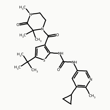 Cc1ncc(NC(=O)Nc2sc(C(C)(C)C)cc2C(=O)N2CCN(C)C(=O)C2(C)C)cc1C1CC1